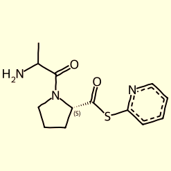 CC(N)C(=O)N1CCC[C@H]1C(=O)Sc1ccccn1